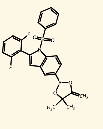 C=C1OB(c2ccc3c(c2)cc(-c2c(F)cccc2F)n3S(=O)(=O)c2ccccc2)OC1(C)C